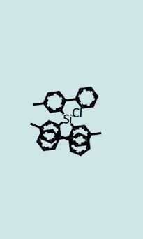 Cc1ccc(-c2ccccc2)c([Si](Cl)(c2cc(C)ccc2-c2ccccc2)c2cc(C)ccc2-c2ccccc2)c1